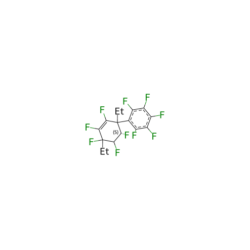 CCC1(F)C(F)=C(F)C(CC)(c2c(F)c(F)c(F)c(F)c2F)[C@H](F)C1F